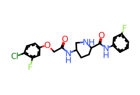 O=C(COc1ccc(Cl)c(F)c1)NC1CCC(C(=O)Nc2cccc(F)c2)NC1